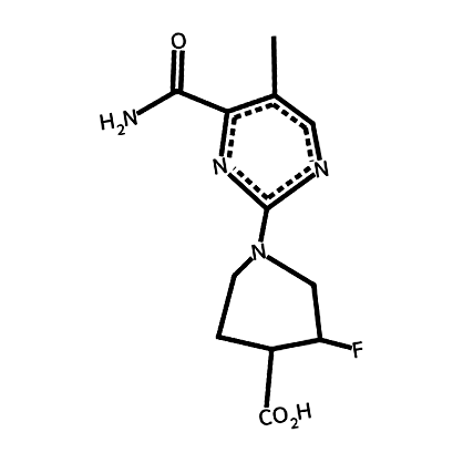 Cc1cnc(N2CCC(C(=O)O)C(F)C2)nc1C(N)=O